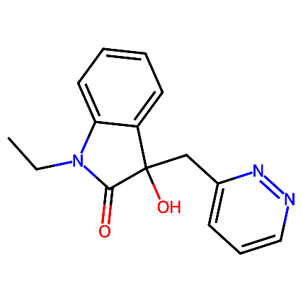 CCN1C(=O)C(O)(Cc2cccnn2)c2ccccc21